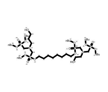 CCCCOP(=O)(CN(CCO)CP(=O)(OCCCC)OCCCCCCCCOP(=O)(CN(CCCO)CP(=O)(OCCCC)OCCCC)OCCCC)OCCCC